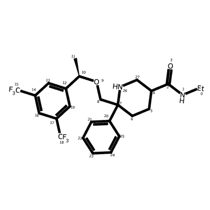 CCNC(=O)C1CCC(CO[C@H](C)c2cc(C(F)(F)F)cc(C(F)(F)F)c2)(c2ccccc2)NC1